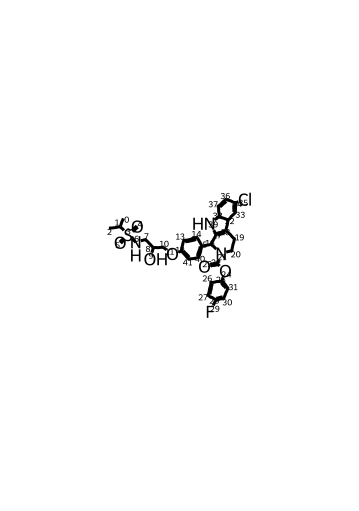 CC(C)S(=O)(=O)NCC(O)COc1ccc(C2C3=C(CCN2C(=O)Oc2ccc(F)cc2)C2C=C(Cl)C=CC2N3)cc1